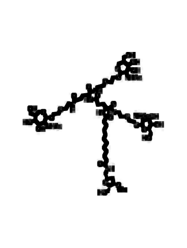 CC(=O)NC1C(OCCOCCNC(=O)CCC(NC(=O)CCC(NC(=O)CCCCCCCCCCC(=O)NC[C@H]2C[C@@H](OC(C)(C)C)[C@H](CO)O2)C(=O)NCCOCCOC2O[C@H](CO)C(O)C(O)C2NC(C)=O)C(=O)NCCOCCOC2OCC(CO)C(O)C(O)C2NC(C)=O)OCC(CO)C(O)C1O